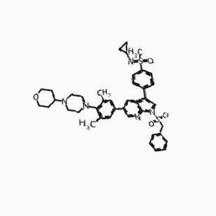 Cc1cc(-c2cnc3c(c2)c(-c2ccc(S(C)(=O)=NC4CC4)cc2)cn3S(=O)(=O)Cc2ccccc2)cc(C)c1N1CCN(C2CCOCC2)CC1